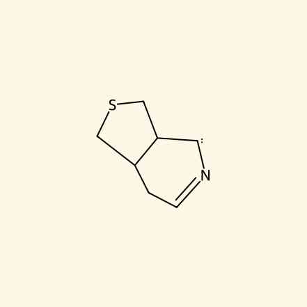 [C]1N=CCC2CSCC12